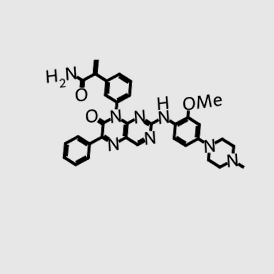 C=C(C(N)=O)c1cccc(-n2c(=O)c(-c3ccccc3)nc3cnc(Nc4ccc(N5CCN(C)CC5)cc4OC)nc32)c1